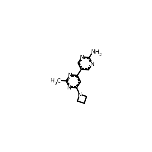 Cc1nc(-c2cnc(N)nc2)cc(N2CCC2)n1